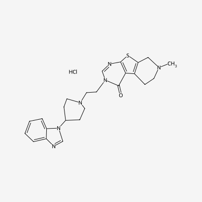 CN1CCc2c(sc3ncn(CCN4CCC(n5cnc6ccccc65)CC4)c(=O)c23)C1.Cl